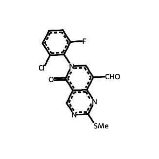 CSc1ncc2c(=O)n(-c3c(F)cccc3Cl)cc(C=O)c2n1